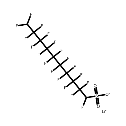 O=S(=O)([O-])C(F)C(F)(F)C(F)(F)C(F)(F)C(F)(F)C(F)(F)C(F)(F)C(F)(F)C(F)(F)C(F)F.[Li+]